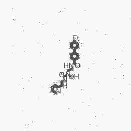 CCc1ccc(-c2ccc(C(=O)NCCN(O)C(=O)NCCc3ccccn3)cc2)cc1